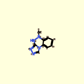 CC(=O)N1Nc2nncn2-c2ccccc21